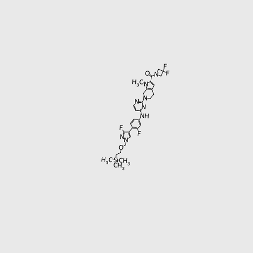 Cn1c(C(=O)N2CC(F)(F)C2)cc2c1CN(c1nccc(Nc3ccc(-c4cn(COCC[Si](C)(C)C)nc4F)c(F)c3)n1)CC2